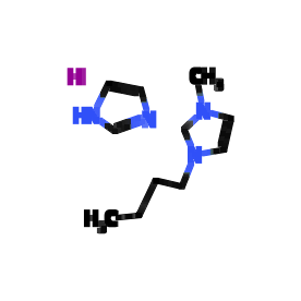 CCCCN1C=CN(C)C1.I.c1c[nH]cn1